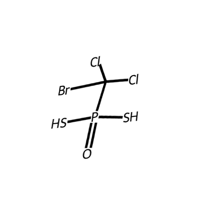 O=P(S)(S)C(Cl)(Cl)Br